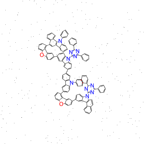 c1ccc(-c2nc(-c3ccccc3)nc(-n3c4ccc(-c5ccc6oc7cccc(-c8cc9c%10ccccc%10n(-c%10ccccc%10)c9c9ccccc89)c7c6c5)cc4c4cc(-c5ccc6c7cc(-c8cccc9oc%10ccc(-c%11ccc%12c(c%11)c%11c%13ccccc%13ccc%11n%12-c%11nc(-c%12ccccc%12)nc(-c%12ccccc%12)n%11)cc%10c89)ccc7n(-c7ccccc7)c6c5)ccc43)n2)cc1